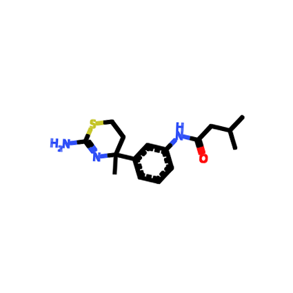 CC(C)CC(=O)Nc1cccc(C2(C)CCSC(N)=N2)c1